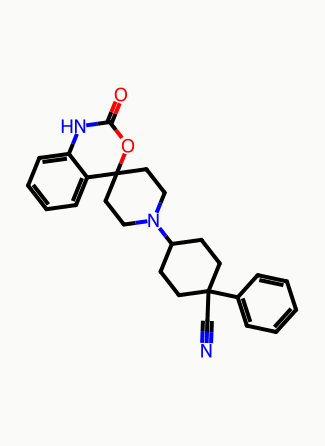 N#CC1(c2ccccc2)CCC(N2CCC3(CC2)OC(=O)Nc2ccccc23)CC1